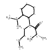 COCCN(C(=O)[C@H](C)N)C1CCCCC1N(C)C